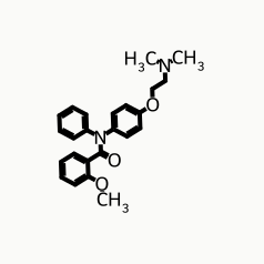 COc1ccccc1C(=O)N(c1ccccc1)c1ccc(OCCN(C)C)cc1